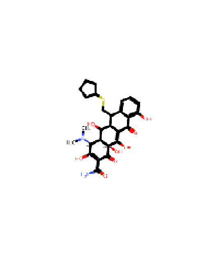 CN(C)[C@@H]1C(O)=C(C(N)=O)C(=O)[C@@]2(O)C(O)=C3C(=O)c4c(O)cccc4C(CSC4CCCC4)C3C(O)C12